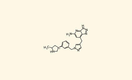 CC1C[C@@H](c2cccc(Cn3cc(Cc4cc(N)nc5[nH]nnc45)cn3)c2)CN1